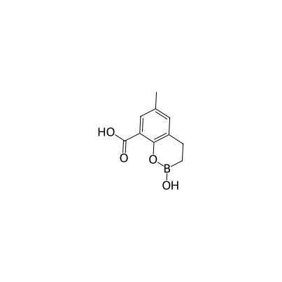 Cc1cc2c(c(C(=O)O)c1)OB(O)CC2